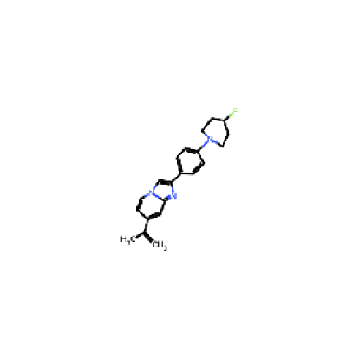 C=C(C)c1ccn2cc(-c3ccc(N4CCC(F)CC4)cc3)nc2c1